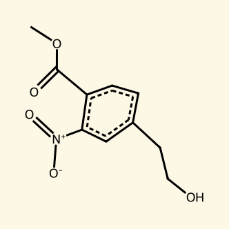 COC(=O)c1ccc(CCO)cc1[N+](=O)[O-]